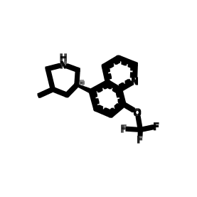 CC1CNC[C@@H](c2ccc(OC(F)(F)F)c3ncccc23)C1